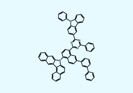 c1ccc(-c2cccc(-c3ccc4c(-n5c6cc7ccccc7cc6c6c7ccccc7ccc65)ccc(-c5nc(-c6ccccc6)nc(-c6ccc7c(c6)c6ccccc6n7-c6ccccc6)n5)c4c3)c2)cc1